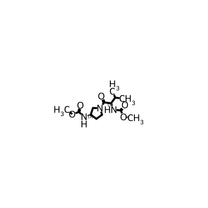 COC(=O)N[C@H]1CCN(C(=O)[C@@H](NC(=O)OC)C(C)C)C1